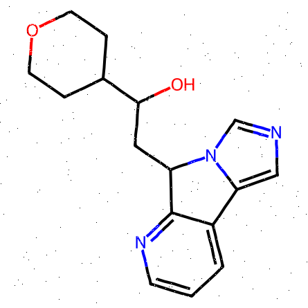 OC(CC1c2ncccc2-c2cncn21)C1CCOCC1